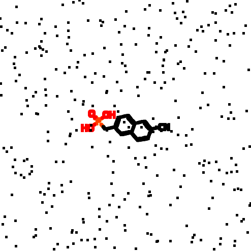 N#Cc1ccc2cc(CP(=O)(O)O)ccc2c1